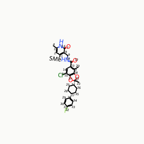 CSc1cc(C)[nH]c(=O)c1CNC(=O)c1cc(Cl)c2c(c1C)OC(C)([C@H]1CC[C@@H](c3ccc(F)cc3)CC1)O2